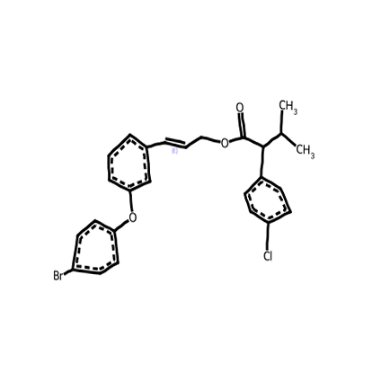 CC(C)C(C(=O)OC/C=C/c1cccc(Oc2ccc(Br)cc2)c1)c1ccc(Cl)cc1